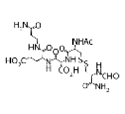 CC(=O)N[C@@H](CSSC[C@H](NC=O)C(N)=O)C(=O)N[C@@H](C(=O)O)C(=O)N[C@@H](CCC(=O)O)C(=O)NCCC(N)=O